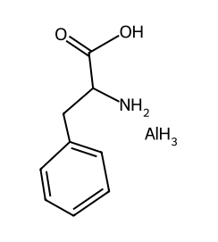 NC(Cc1ccccc1)C(=O)O.[AlH3]